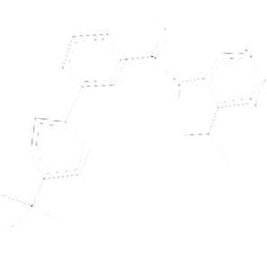 CC(C)c1ncncc1NC(=O)c1cccc(-c2ccc(C(F)(F)F)cc2)c1